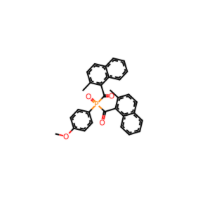 COc1ccc(P(=O)(C(=O)c2c(C)ccc3ccccc23)C(=O)c2c(C)ccc3ccccc23)cc1